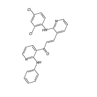 O=C(C=Cc1cccnc1Nc1ccc(Cl)cc1Cl)c1cccnc1Nc1ccccc1